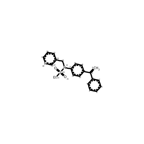 C=C(c1ccccc1)c1ccc(N(Cc2cccnc2)S(=O)(=O)CC)cc1